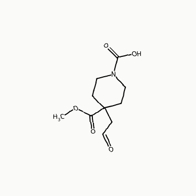 COC(=O)C1(CC=O)CCN(C(=O)O)CC1